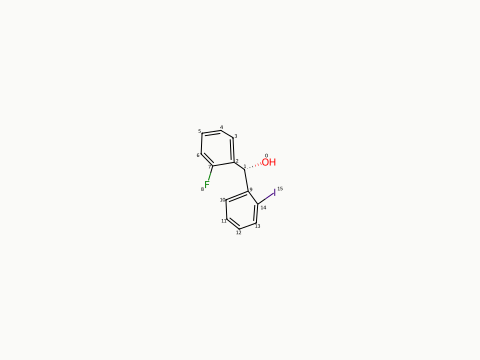 O[C@@H](c1ccccc1F)c1ccccc1I